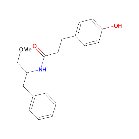 COCC(Cc1ccccc1)NC(=O)CCc1ccc(O)cc1